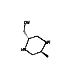 C[C@H]1CN[C@H](CO)CN1